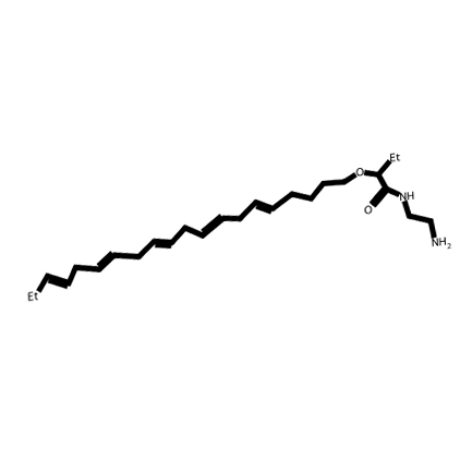 CCC=CCC=CCC=CCC=CCC=CCCCCOC(CC)C(=O)NCCN